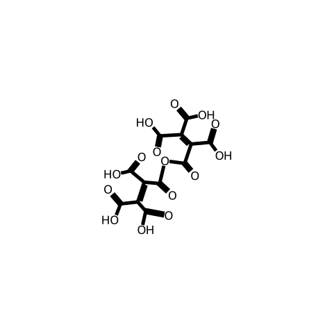 O=C(O)C(C(=O)O)=C(C(=O)O)C(=O)OC(=O)C(C(=O)O)=C(C(=O)O)C(=O)O